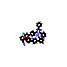 N#Cc1ccccc1-c1ccc2c3ccc(-c4ccccc4C#N)cc3n(-c3cc(-c4nc(-c5ccccc5)nc(-c5ccccc5)n4)ccc3-c3cccc(F)c3)c2c1